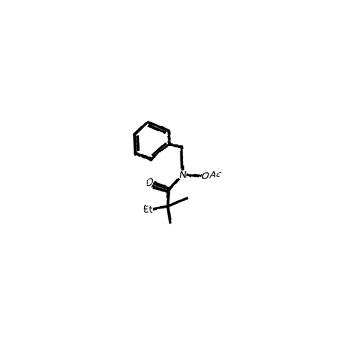 CCC(C)(C)C(=O)N(Cc1ccccc1)OC(C)=O